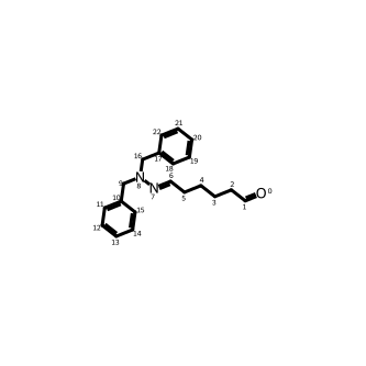 O=CCCCC/C=N/N(Cc1ccccc1)Cc1ccccc1